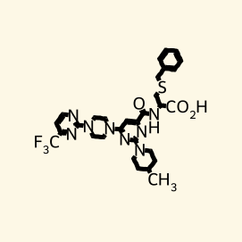 CC1CCN(c2nc(C(=O)NC(CSCc3ccccc3)C(=O)O)cc(N3CCN(c4nccc(C(F)(F)F)n4)CC3)n2)CC1